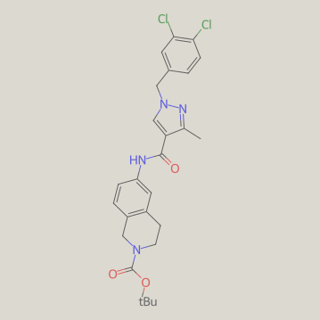 Cc1nn(Cc2ccc(Cl)c(Cl)c2)cc1C(=O)Nc1ccc2c(c1)CCN(C(=O)OC(C)(C)C)C2